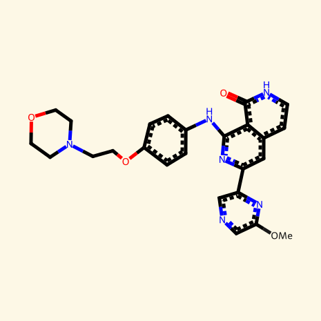 COc1cncc(-c2cc3cc[nH]c(=O)c3c(Nc3ccc(OCCN4CCOCC4)cc3)n2)n1